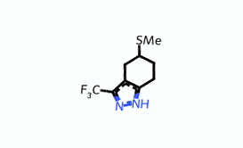 CSC1CCc2[nH]nc(C(F)(F)F)c2C1